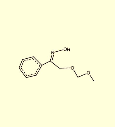 COCOCC(=NO)c1ccccc1